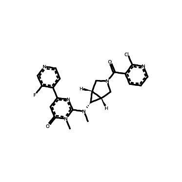 CN(c1nc(-c2ccncc2F)cc(=O)n1C)[C@@H]1[C@@H]2CN(C(=O)c3cccnc3Cl)C[C@@H]21